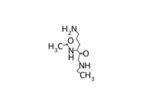 CCNCC(=O)C(CCCN)NC(C)=O